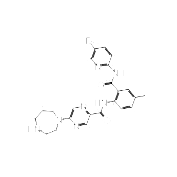 Cc1ccc(NC(=O)c2cnc(N3CCCNCC3)cn2)c(C(=O)Nc2ccc(F)cn2)c1